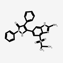 CC(C)S(=O)(=O)c1cc(-c2[nH]n(-c3ccccc3)c(=O)c2-c2ccccc2)cc2[nH]c(N)nc12